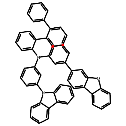 c1ccc(-c2ccccc2-c2ccccc2N(c2cccc(-c3ccc4c(c3)oc3ccccc34)c2)c2cccc(-n3c4ccccc4c4ccccc43)c2)cc1